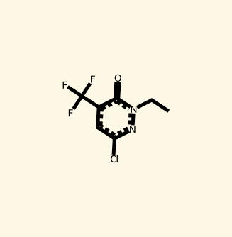 CCn1nc(Cl)cc(C(F)(F)F)c1=O